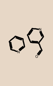 O=Cc1cccnc1.c1ccncc1